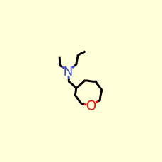 CCCN(CC)CC1CCCCOCC1